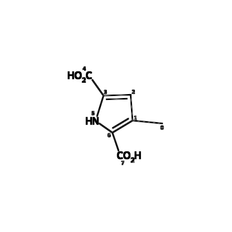 Cc1cc(C(=O)O)[nH]c1C(=O)O